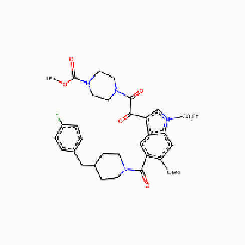 CCOC(=O)n1cc(C(=O)C(=O)N2CCN(C(=O)OC(C)(C)C)CC2)c2cc(C(=O)N3CCC(Cc4ccc(F)cc4)CC3)c(OC)cc21